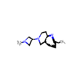 Cc1ccc2c(n1)CCN(C1CN(C)C1)C2